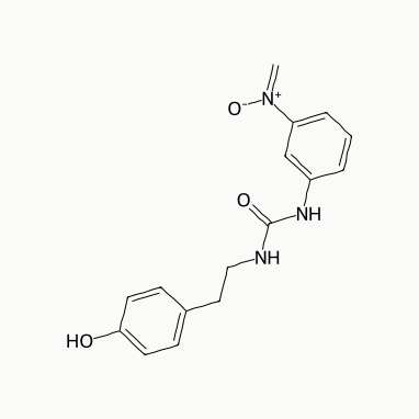 C=[N+]([O-])c1cccc(NC(=O)NCCc2ccc(O)cc2)c1